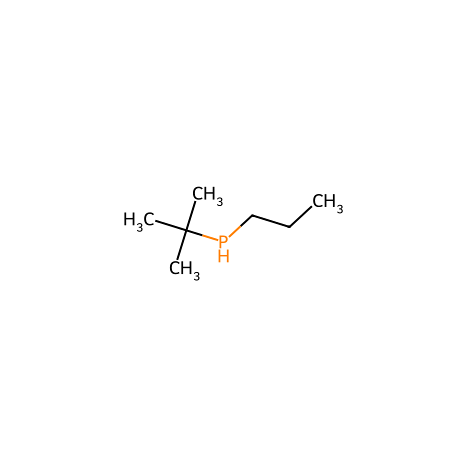 CCCPC(C)(C)C